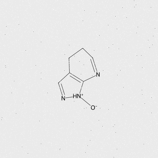 [O-][NH+]1N=CC2=C1N=CCC2